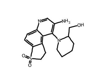 Nc1cnc2ccc3c(c2c1N1CCCCC1CO)CCS3(=O)=O